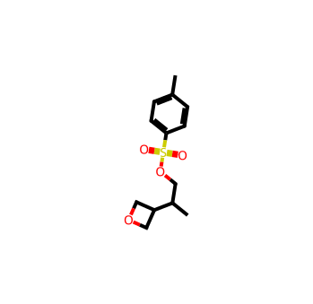 Cc1ccc(S(=O)(=O)OCC(C)C2COC2)cc1